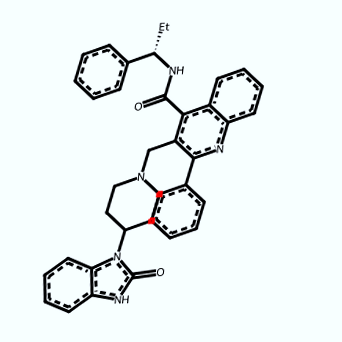 CC[C@H](NC(=O)c1c(CN2CCC(n3c(=O)[nH]c4ccccc43)CC2)c(-c2ccccc2)nc2ccccc12)c1ccccc1